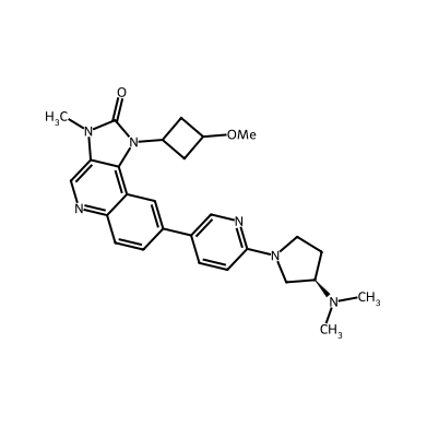 COC1CC(n2c(=O)n(C)c3cnc4ccc(-c5ccc(N6CC[C@@H](N(C)C)C6)nc5)cc4c32)C1